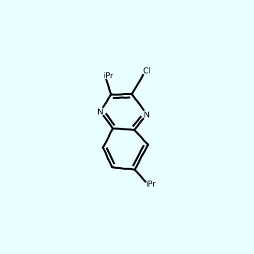 CC(C)c1ccc2nc(C(C)C)c(Cl)nc2c1